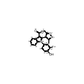 Cc1noc(C)c1-c1c(C(N)=O)c2ccccc2n1-c1ccc(O)c(F)c1